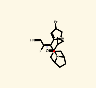 N=C/C(F)=C(\C1=CC(Br)CN1)N1CC2CCC(C1)N2C(=O)C1CC1